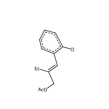 CC/C(=C\c1ccccc1Cl)COC(C)=O